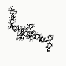 CC1(C)CCC(c2ccc(Cl)cc2)=C(CN2CCN(c3ccc(C(=O)NS(=O)(=O)c4ccc(N[C@H](CCN5CCN(C(=O)C6CCC7(CC6)CN(C(=O)OC(C)(C)C)C7)CC5)CSc5ccccc5)c(S(=O)(=O)C(F)(F)F)c4)cc3)CC2)C1